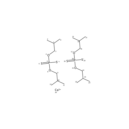 CC(C)COP(=S)([S-])OCC(C)C.CC(C)COP(=S)([S-])OCC(C)C.[Ca+2]